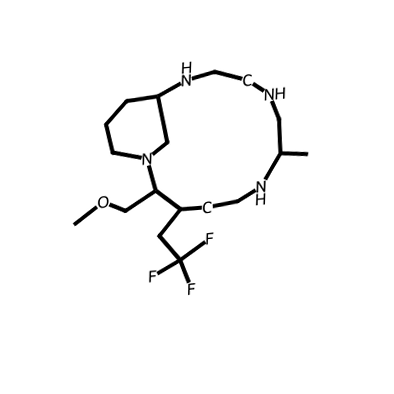 COCC1C(CC(F)(F)F)CCNC(C)CNCCNC2CCCN1C2